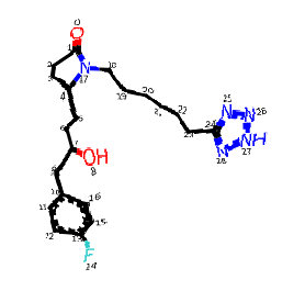 O=C1CCC(CCC(O)Cc2ccc(F)cc2)N1CCCCCCc1nn[nH]n1